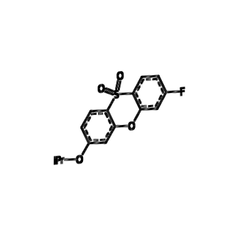 CC(C)Oc1ccc2c(c1)Oc1cc(F)ccc1S2(=O)=O